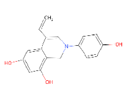 C=CC1=CN(c2ccc(O)cc2)Cc2c(O)cc(O)cc21